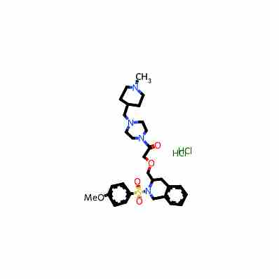 COc1ccc(S(=O)(=O)N2Cc3ccccc3CC2COCC(=O)N2CCN(CC3CCN(C)CC3)CC2)cc1.Cl.Cl